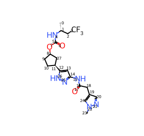 C[C@H](CC(F)(F)F)NC(=O)O[C@@H]1CC[C@H](c2cc(NC(=O)Cc3cnn(C)c3)n[nH]2)C1